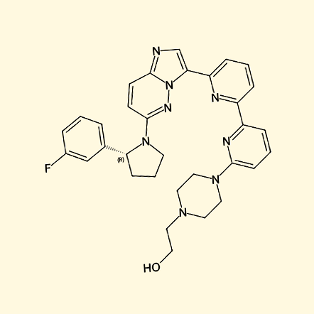 OCCN1CCN(c2cccc(-c3cccc(-c4cnc5ccc(N6CCC[C@@H]6c6cccc(F)c6)nn45)n3)n2)CC1